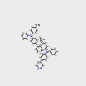 N#Cc1ccc(N(c2ccccc2)c2ccc3c(c2)C2(CC2)c2ccc(N(c4ccccc4)c4ccc(-c5cccnc5)cc4)c4cccc-3c24)cc1